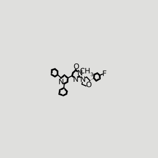 Cn1c(N2CCO[C@@H](c3ccc(F)cc3)C2)nc(-c2cc(-c3ccccc3)nc(-c3ccccc3)c2)cc1=O